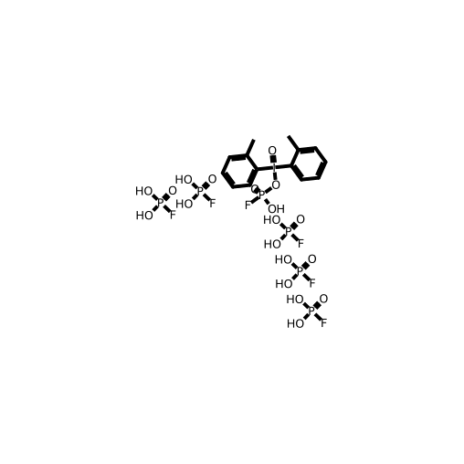 Cc1ccccc1I(=O)(OP(=O)(O)F)c1ccccc1C.O=P(O)(O)F.O=P(O)(O)F.O=P(O)(O)F.O=P(O)(O)F.O=P(O)(O)F